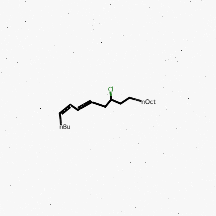 CCCC/C=C\C=C\CC(Cl)CCCCCCCCCC